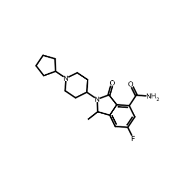 CC1c2cc(F)cc(C(N)=O)c2C(=O)N1C1CCN(C2CCCC2)CC1